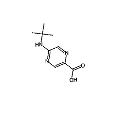 CC(C)(C)Nc1cnc(C(=O)O)cn1